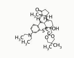 CCN(CC)c1ccc2c(c1)S[C@]13CCC4(C[C@]1(O)CC[C@@H]1C3[C@@H]2C[C@]2(C)C(=O)CC[C@@H]12)OCC(C)(C)CO4